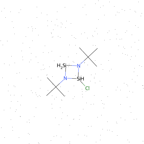 CC(C)(C)N1[SiH2]N(C(C)(C)C)[SiH]1Cl